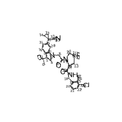 CC(=O)c1cn(CC(=O)N2C[C@H](F)C[C@H]2C(=O)NCc2cccc(Cl)c2F)c2cc(C3(C#N)CC3)ccc12